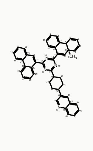 C[C@]12C=CC=CC1c1ccccc1C(c1nc(-c3cc4ccccc4c4ccccc34)nc(C3CCC(c4cnc5ccccc5c4)CC3)n1)=C2